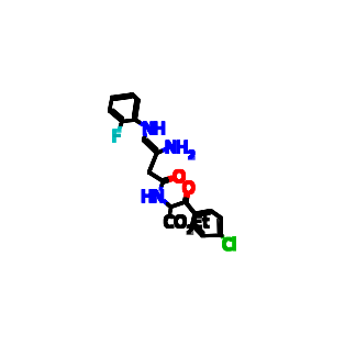 CCOC(=O)C(NC(=O)C/C(N)=C/Nc1ccccc1F)C(=O)c1ccc(Cl)cc1